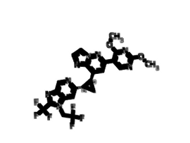 COc1ncc(-c2cc([C@H]3C[C@@H]3c3cc4c(cn3)nc(C(F)(F)F)n4CC(F)(F)F)c3nccn3n2)c(OC)n1